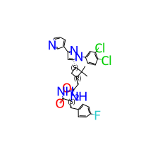 CC1(C)[C@@H](CC(=O)N[C@@H](Cc2ccc(F)cc2)C(N)=O)C[C@@H]1c1cc(-c2cccnc2)nn1-c1ccc(Cl)c(Cl)c1